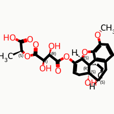 COc1ccc2c3c1O[C@@H]1C(OC(=O)[C@H](O)[C@@H](O)C(=O)O[C@@H](C)C(=O)O)=CC[C@]4(O)[C@@H](CCC[C@@]314)C2